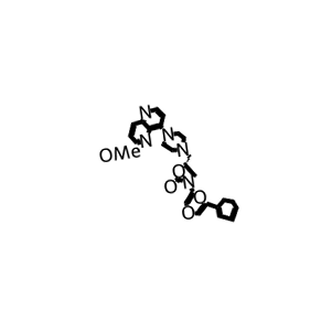 COc1ccc2nccc(N3CCN(C[C@@H]4CN(C5=COC=C(C6=CC=CCC6)O5)C(=O)O4)CC3)c2n1